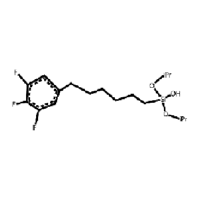 CC(C)O[Si](O)(CCCCCCc1cc(F)c(F)c(F)c1)OC(C)C